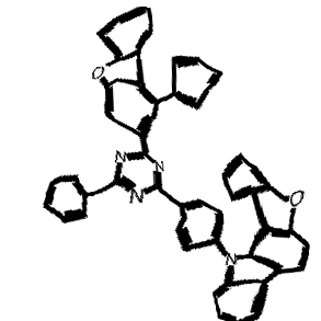 c1ccc(-c2nc(-c3ccc(-n4c5ccccc5c5ccc6oc7ccccc7c6c54)cc3)nc(-c3cc(-c4ccccc4)c4c(c3)oc3ccccc34)n2)cc1